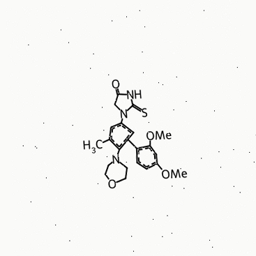 COc1ccc(-c2cc(N3CC(=O)NC3=S)cc(C)c2N2CCOCC2)c(OC)c1